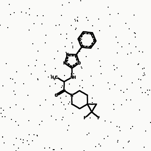 CC(Nc1nnc(-c2ccccc2)o1)C(=O)N1CCC2(CC1)CC2(F)F